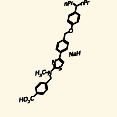 CCCC(CCC)c1ccc(OCc2ccc(-c3csc(N(C)Cc4ccc(C(=O)O)cc4)n3)cc2)cc1.[NaH]